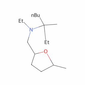 CCCCC(C)(CC)N(CC)CC1CCC(C)O1